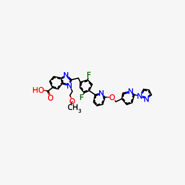 COCCn1c(Cc2cc(F)c(-c3cccc(OCc4ccc(-n5cccn5)nc4)n3)cc2F)nc2ccc(C(=O)O)cc21